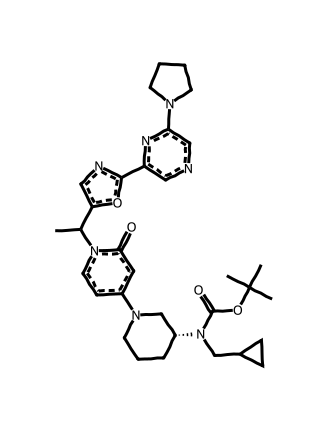 CC(c1cnc(-c2cncc(N3CCCC3)n2)o1)n1ccc(N2CCC[C@@H](N(CC3CC3)C(=O)OC(C)(C)C)C2)cc1=O